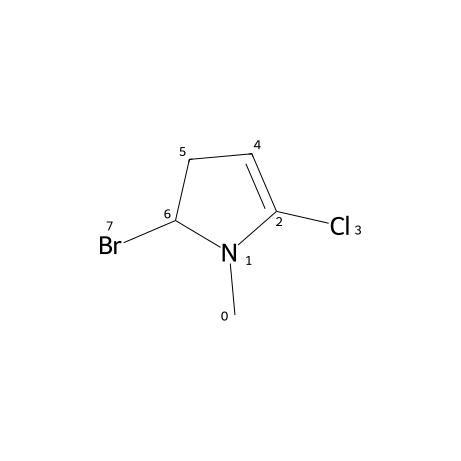 CN1C(Cl)=CCC1Br